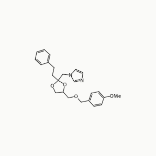 COc1ccc(COCC2COC(CCc3ccccc3)(Cn3ccnc3)O2)cc1